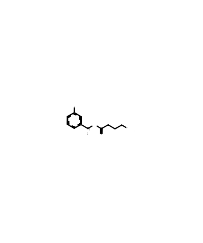 CCCCC(=O)O[C@H](C)c1cccc(Cl)c1